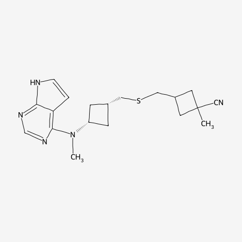 CN(c1ncnc2[nH]ccc12)[C@H]1C[C@@H](CSCC2CC(C)(C#N)C2)C1